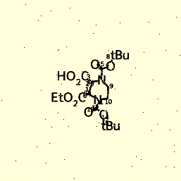 CCOC(=O)[C@H]1[C@H](C(=O)O)N(C(=O)OC(C)(C)C)CCN1C(=O)OC(C)(C)C